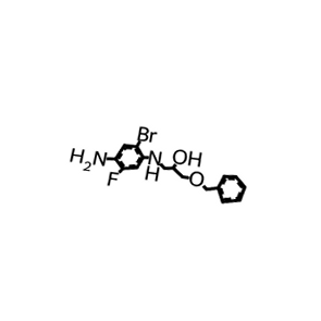 Nc1cc(Br)c(NCC(O)COCc2ccccc2)cc1F